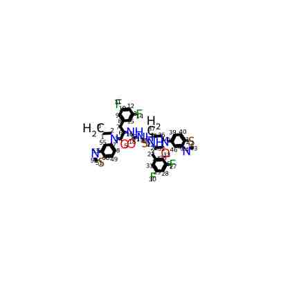 C=CCN(C(=O)C(Cc1cc(F)cc(F)c1)NC(=O)NSN[C@@H](Cc1cc(F)cc(F)c1)C(=O)N(CC=C)c1ccc2scnc2c1)c1ccc2scnc2c1